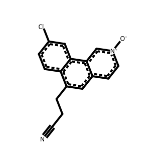 N#CCCc1cc2cc[n+]([O-])cc2c2cc(Cl)ccc12